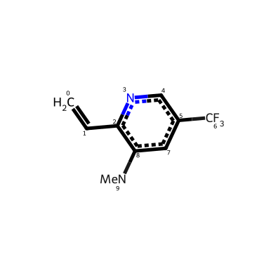 C=Cc1ncc(C(F)(F)F)cc1NC